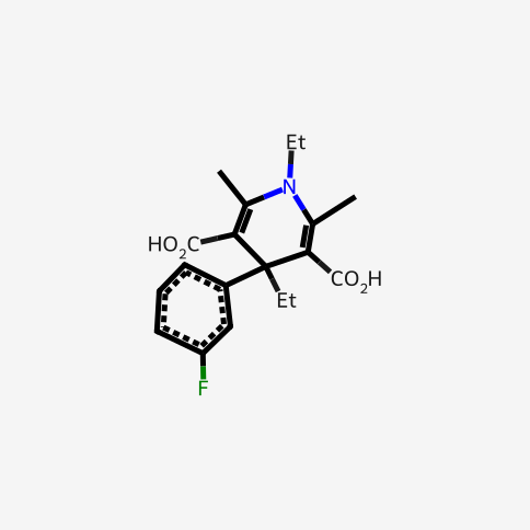 CCN1C(C)=C(C(=O)O)C(CC)(c2cccc(F)c2)C(C(=O)O)=C1C